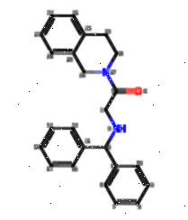 O=C(CNC(c1ccccc1)c1ccccc1)N1CCc2ccccc2C1